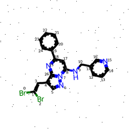 BrC(Br)=Cc1cnn2c(NCc3cccnc3)cc(-c3ccccc3)nc12